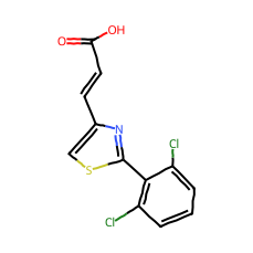 O=C(O)C=Cc1csc(-c2c(Cl)cccc2Cl)n1